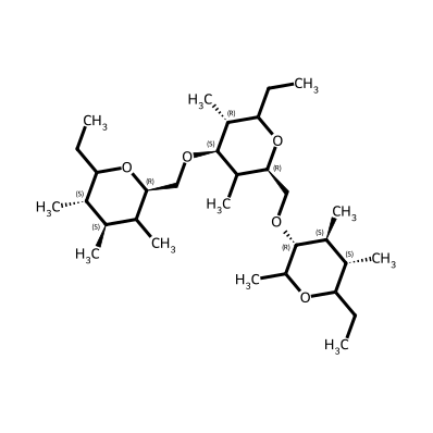 CCC1OC(C)[C@H](OC[C@@H]2OC(CC)[C@@H](C)[C@H](OC[C@@H]3OC(CC)[C@@H](C)[C@H](C)C3C)C2C)[C@@H](C)[C@@H]1C